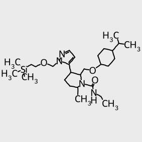 CCNC(=O)N1C(C)CCC(c2ccnn2COCC[Si](C)(C)C)C1COC1CCC(C(C)C)CC1